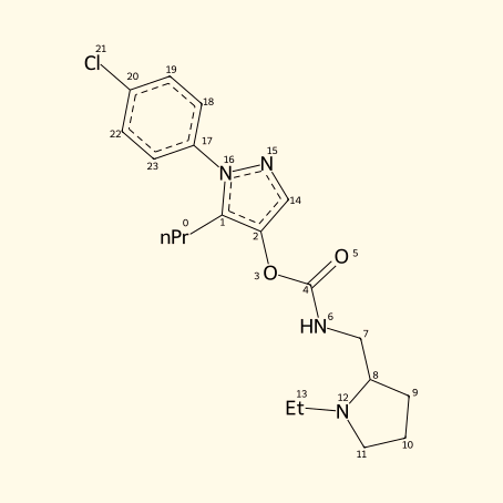 CCCc1c(OC(=O)NCC2CCCN2CC)cnn1-c1ccc(Cl)cc1